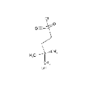 CC(C)(C)CCS(=O)(=O)O.[LiH]